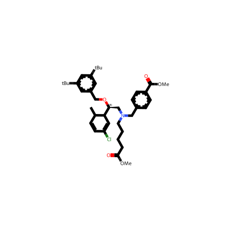 COC(=O)CCCCN(Cc1ccc(C(=O)OC)cc1)C[C@H](OCc1cc(C(C)(C)C)cc(C(C)(C)C)c1)C1C=C(Cl)C=CC1C